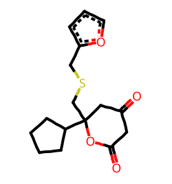 O=C1CC(=O)OC(CSCc2ccco2)(C2CCCC2)C1